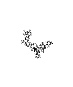 CC1(C)C2=CC3C(C=C2C2=C1C=CC(c1ccc(C4=NC(c5ccccc5)NC(C5C=CC(c6ccccc6)=CC5)=C4)cc1)C2)C1CC=CC=C1C3(C)C